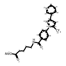 COC(=O)CCCCNC(=O)c1ccc(-n2nc(-c3cccnc3)cc2C(F)(F)F)cc1